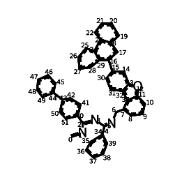 C=N/C(=N\C(=N/Cc1cccc2oc3cc(-c4cc5ccccc5c5ccccc45)ccc3c12)c1ccccc1)c1ccc(-c2ccccc2)cc1